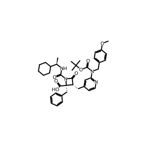 COc1ccc(CN(C(=O)OC(C)(C)C)c2cc(C[C@H]3C(=O)N(C(=O)N[C@H](C)C4CCCCC4)[C@]3(Cc3ccccc3)C(=O)O)ccn2)cc1